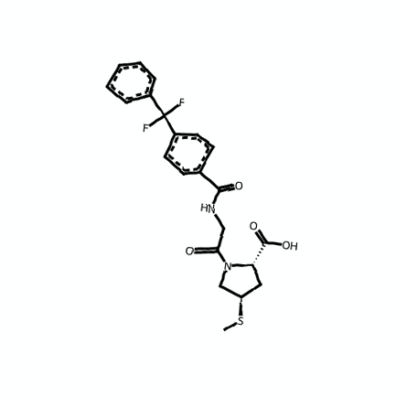 CS[C@@H]1C[C@@H](C(=O)O)N(C(=O)CNC(=O)c2ccc(C(F)(F)c3ccccc3)cc2)C1